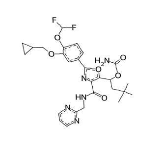 CC(C)(C)CC(OC(N)=O)c1oc(-c2ccc(OC(F)F)c(OCC3CC3)c2)nc1C(=O)NCc1ncccn1